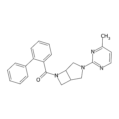 Cc1ccnc(N2CC3CN(C(=O)c4ccccc4-c4ccccc4)C3C2)n1